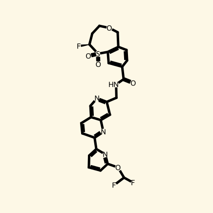 O=C(NCc1cc2nc(-c3cccc(OC(F)F)n3)ccc2cn1)c1ccc2c(c1)S(=O)(=O)[C@@H](F)CCOC2